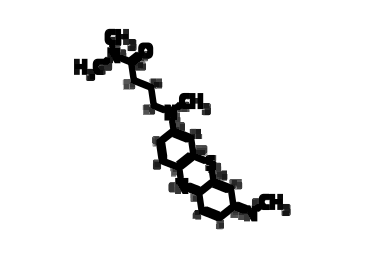 C/N=c1/ccc2nc3ccc(N(C)CCCC(=O)N(C)C)cc3sc-2c1